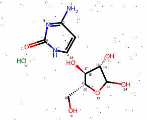 Cl.Nc1cc[nH]c(=O)n1.OC[C@H]1OC(O)[C@@H](O)[C@@H]1O